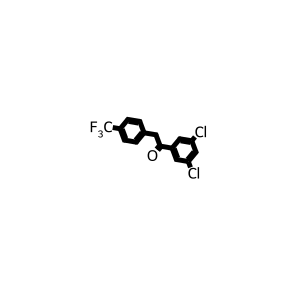 O=C(Cc1ccc(C(F)(F)F)cc1)c1cc(Cl)cc(Cl)c1